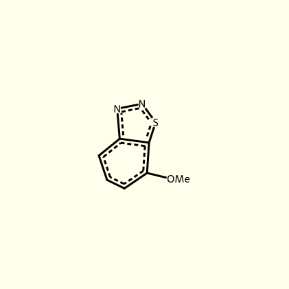 COc1cccc2nnsc12